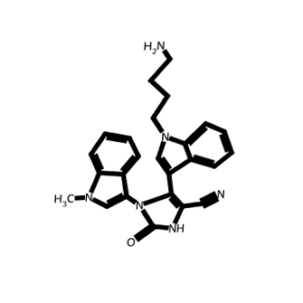 Cn1cc(-n2c(-c3cn(CCCCN)c4ccccc34)c(C#N)[nH]c2=O)c2ccccc21